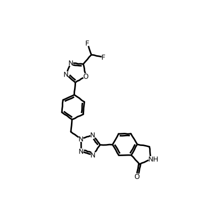 O=C1NCc2ccc(-c3nnn(Cc4ccc(-c5nnc(C(F)F)o5)cc4)n3)cc21